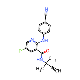 C#CC(C)(C)NC(=O)c1cc(F)cnc1Nc1ccc(C#N)cc1